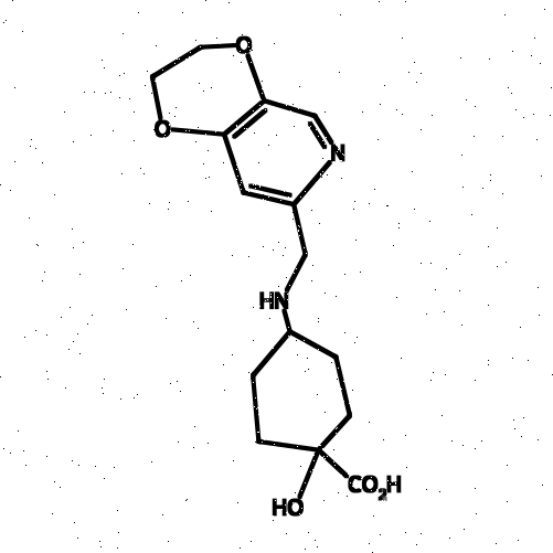 O=C(O)C1(O)CCC(NCc2cc3c(cn2)OCCO3)CC1